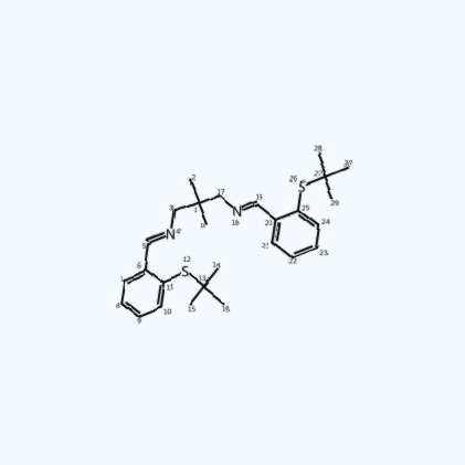 CC(C)(CN=Cc1ccccc1SC(C)(C)C)CN=Cc1ccccc1SC(C)(C)C